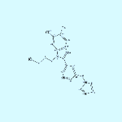 OCCCn1c(-c2cncc(Cn3ccnc3)c2)nc2cc(F)c(Cl)cc21